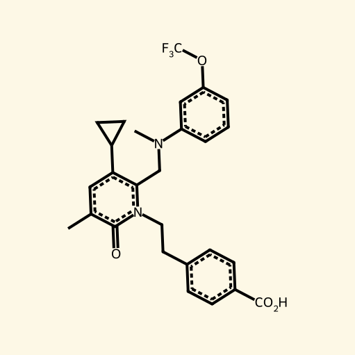 Cc1cc(C2CC2)c(CN(C)c2cccc(OC(F)(F)F)c2)n(CCc2ccc(C(=O)O)cc2)c1=O